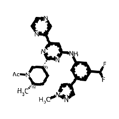 CC(=O)N1C[C@H](c2nc(Nc3cc(-c4cnn(C)c4)cc(C(F)F)c3)cc(-c3cnccn3)n2)CC[C@@H]1C